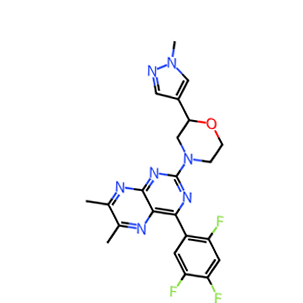 Cc1nc2nc(N3CCOC(c4cnn(C)c4)C3)nc(-c3cc(F)c(F)cc3F)c2nc1C